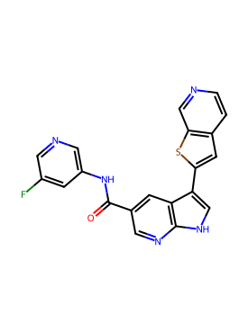 O=C(Nc1cncc(F)c1)c1cnc2[nH]cc(-c3cc4ccncc4s3)c2c1